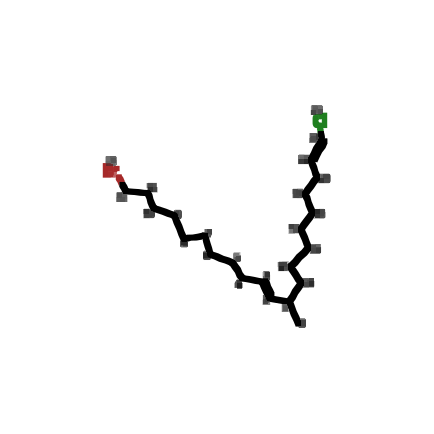 CC(C=CCCCCCCCCCBr)CCCCCCCC=CCl